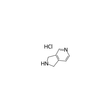 Cl.c1cc2c(cn1)CNC2